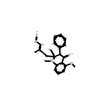 COc1cccc(OC)c1C(=O)C(c1ccccc1)C(C)(C)CC(C)CP=O